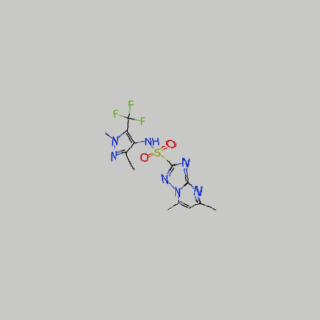 Cc1cc(C)n2nc(S(=O)(=O)Nc3c(C)nn(C)c3C(F)(F)F)nc2n1